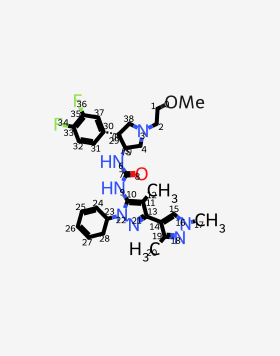 COCCN1C[C@@H](NC(=O)Nc2c(C)c(-c3cn(C)nc3C)nn2C2C=CC=CC2)[C@H](c2ccc(F)c(F)c2)C1